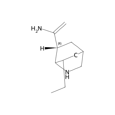 C=C(N)[C@@H]1CC2CNC1C(CC)C2